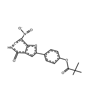 CC(C)(C)C(=O)Oc1ccc(-c2cc3c(=O)[nH]cc([N+](=O)[O-])c3s2)cc1